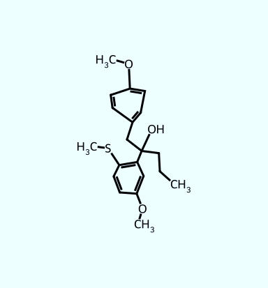 CCCC(O)(Cc1ccc(OC)cc1)c1cc(OC)ccc1SC